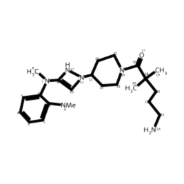 CNc1ccccc1N(C)c1cn(C2CCN(C(=O)C(C)(C)CCCN)CC2)[nH]1